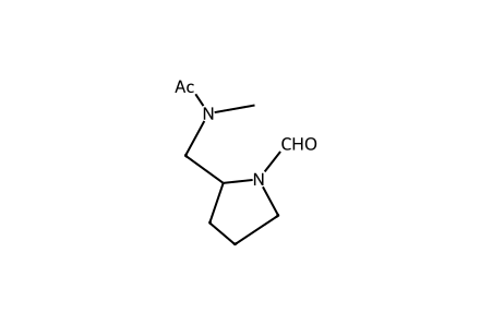 CC(=O)N(C)CC1CCCN1C=O